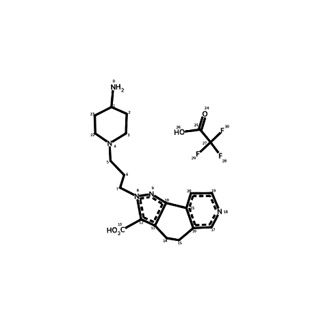 NC1CCN(CCCn2nc3c(c2C(=O)O)CCc2cnccc2-3)CC1.O=C(O)C(F)(F)F